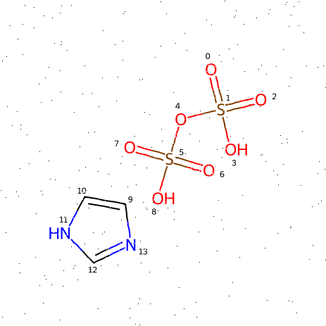 O=S(=O)(O)OS(=O)(=O)O.c1c[nH]cn1